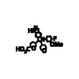 COc1cc(-n2c(C3CCOCC3)c([C@@H]3CC[C@@H](C(=O)O)OC3)c3cc4[nH]ncc4cc32)ccc1F